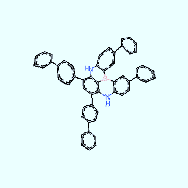 c1ccc(-c2ccc(-c3cc(-c4ccc(-c5ccccc5)cc4)c4c5c3Nc3ccc(-c6ccccc6)cc3B5c3cc(-c5ccccc5)ccc3N4)cc2)cc1